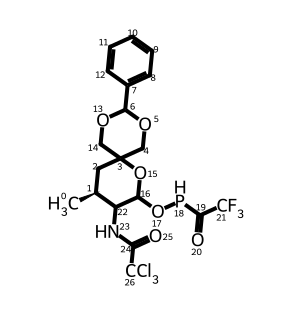 C[C@H]1CC2(COC(c3ccccc3)OC2)OC(OPC(=O)C(F)(F)F)C1NC(=O)C(Cl)(Cl)Cl